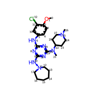 COc1ccc(Nc2nc(NN3CCCCCC3)nc(N(C)C3CCN(C)CC3)n2)cc1Cl